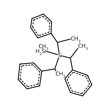 C[SiH2][Si](C(C)c1ccccc1)(C(C)c1ccccc1)C(C)c1ccccc1